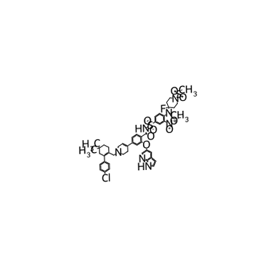 CN(c1ccc(S(=O)(=O)NC(=O)c2ccc(C3=CCN(CC4=C(c5ccc(Cl)cc5)CC(C)(C)CC4)CC3)cc2Oc2cnc3[nH]ccc3c2)cc1[N+](=O)[O-])C1(F)CCN(S(C)(=O)=O)CC1